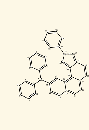 c1ccc(N(c2ccccc2)c2ccc3ccc4ccc5nn(-c6ccccc6)nc5c4c3c2)cc1